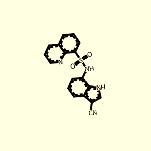 N#Cc1c[nH]c2c(NS(=O)(=O)c3cccc4cccnc34)cccc12